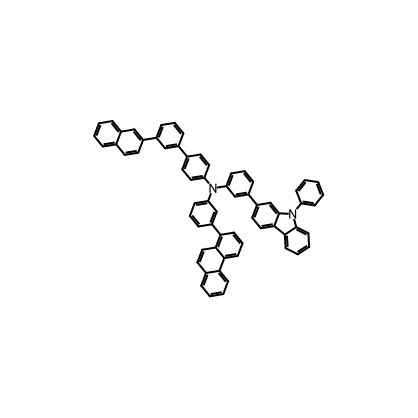 c1ccc(-n2c3ccccc3c3ccc(-c4cccc(N(c5ccc(-c6cccc(-c7ccc8ccccc8c7)c6)cc5)c5cccc(-c6cccc7c6ccc6ccccc67)c5)c4)cc32)cc1